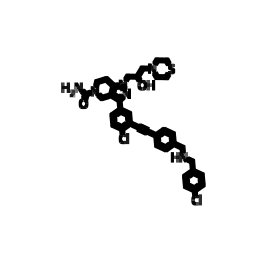 NC(=O)N1CCc2c(c(-c3ccc(Cl)c(C#Cc4ccc(CNCc5ccc(Cl)cc5)cc4)c3)nn2CC(O)CN2CCSCC2)C1